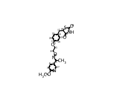 COc1ccc(C(C)=NOCCOc2ccc(CC3SC(=O)NC3=O)cc2)cn1